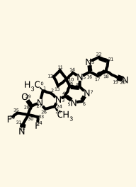 C[C@@H]1CN(c2ncnc3c2C2(CCC2)CN3c2cc(C#N)ccn2)[C@@H](C)CN1C(=O)C(C#N)(CF)CF